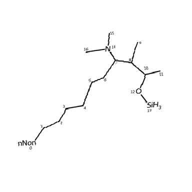 CCCCCCCCCCCCCCCC(C(C)C(C)O[SiH3])N(C)C